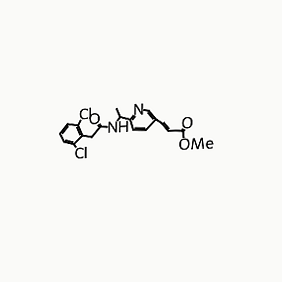 COC(=O)/C=C/c1ccc(C(C)NC(=O)Cc2c(Cl)cccc2Cl)nc1